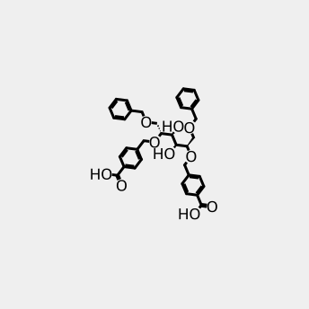 O=C(O)c1ccc(CO[C@H](COCc2ccccc2)[C@@H](O)[C@H](O)[C@@H](COCc2ccccc2)OCc2ccc(C(=O)O)cc2)cc1